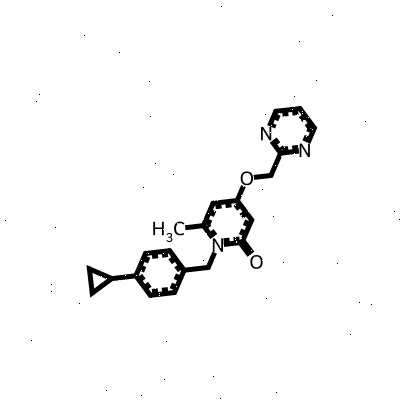 Cc1cc(OCc2ncccn2)cc(=O)n1Cc1ccc(C2CC2)cc1